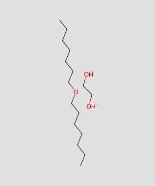 CCCCCCCOCCCCCCC.OCCO